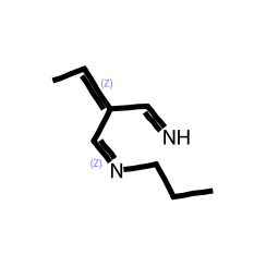 C/C=C(C=N)\C=N/CCC